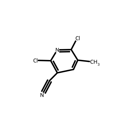 Cc1cc(C#N)c(Cl)nc1Cl